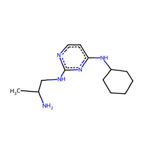 CC(N)CNc1nccc(NC2CCCCC2)n1